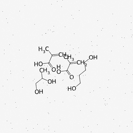 C=C(C)C(=O)O.C=C(C)C(=O)O.CC(O)CO.OCCCCO